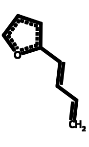 C=CC=Cc1ccco1